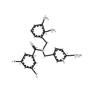 Cc1cccc(CN(Cc2ccc(C(=O)O)nc2)C(=O)c2cc(F)cc(F)c2)c1C